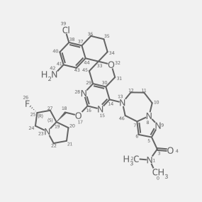 CN(C)C(=O)c1cc2n(n1)CCCN(c1nc(OC[C@@]34CCCN3C[C@H](F)C4)nc3c1COC1(CCCc4c(Cl)cc(N)cc41)C3)C2